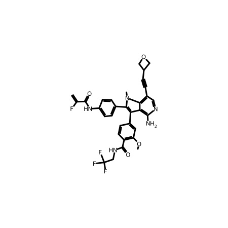 C=C(F)C(=O)Nc1ccc(-c2c(-c3ccc(C(=O)NCC(F)(F)F)c(OC)c3)c3c(N)ncc(C#CC4COC4)c3n2C)cc1